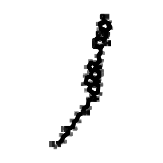 COC(=O)C(Cc1ccc(O)cc1)NC(=O)CCCC1CCC2C3CCC4CC(NCCCNCCCCNCCCN)CCC4(C)C3CCC12C